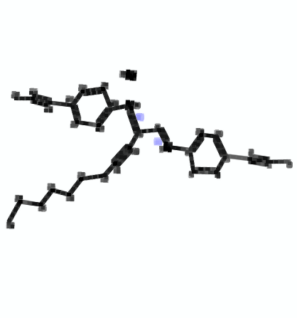 CC#Cc1ccc(/N=C/C(C#CCCCCCCC)=N/c2ccc(C#CC)cc2)cc1.[Ni]